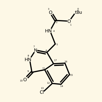 CC(C)(C)OC(=O)NCc1n[nH]c(=O)c2c(Cl)cccc12